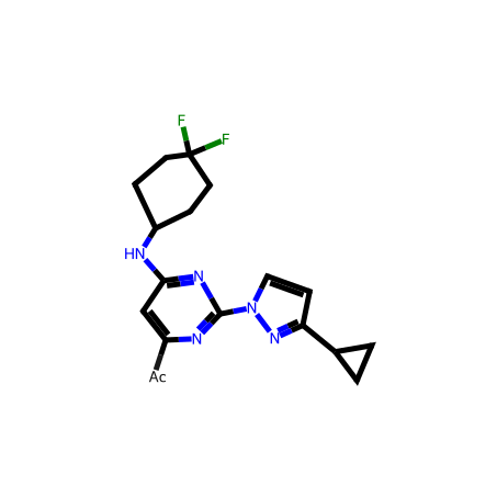 CC(=O)c1cc(NC2CCC(F)(F)CC2)nc(-n2ccc(C3CC3)n2)n1